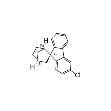 Clc1ccc2c(c1)-c1ccccc1[C@]21C[C@H]2CC[C@@H]1C2